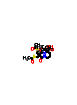 CC(=O)SCC1(CSC(C)=O)C(=O)N2CCCC(C(=O)O)(C(C)(C)C)N2C1=O